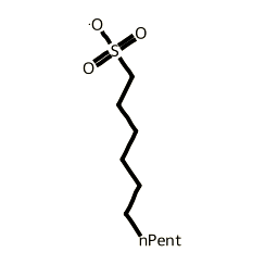 CCCCCCCCCCCS([O])(=O)=O